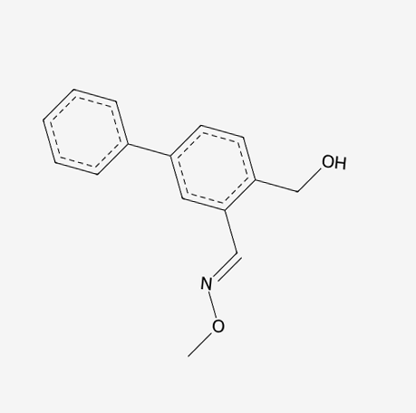 CON=Cc1cc(-c2ccccc2)ccc1CO